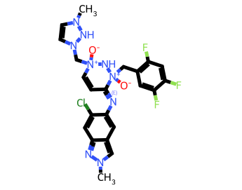 CN1C=CN(C[N+]2([O-])C=C/C(=N\c3cc4cn(C)nc4cc3Cl)[N+]([O-])(Cc3cc(F)c(F)cc3F)N2)N1